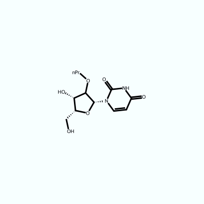 CCCOC1[C@@H](O)[C@@H](CO)O[C@H]1n1ccc(=O)[nH]c1=O